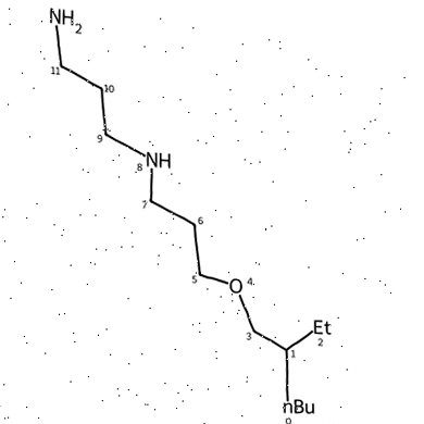 CCCCC(CC)COCCCNCCCN